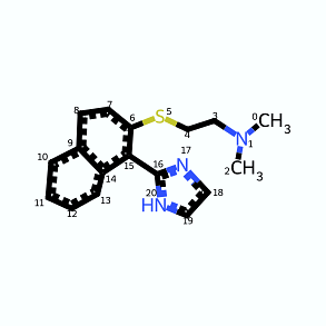 CN(C)CCSc1ccc2ccccc2c1-c1ncc[nH]1